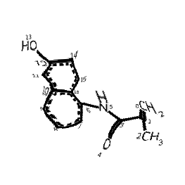 C=C(C)C(=O)Nc1cccc2cc(O)ccc12